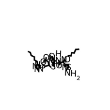 CCCCCCON=C(C(=O)NC1C(=O)N2C(C(=O)O)=C(CSc3nnnn3CCCCCC)CS[C@@H]12)c1csc(N)n1